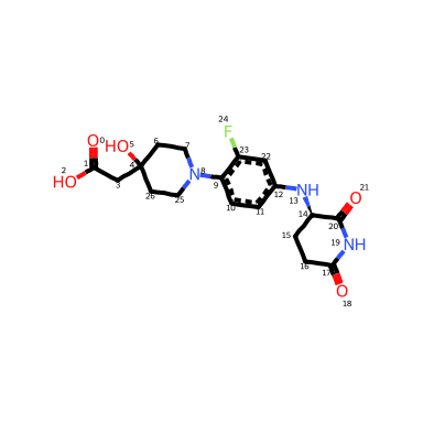 O=C(O)CC1(O)CCN(c2ccc(N[C@@H]3CCC(=O)NC3=O)cc2F)CC1